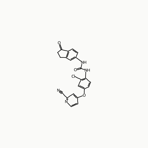 N#Cc1cc(Oc2ccc(NC(=O)Nc3ccc4c(c3)CCC4=O)c(Cl)c2)ccn1